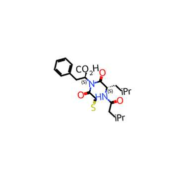 CC(C)CC(=O)N[C@@H](CC(C)C)C(=O)N(C(=O)C=S)[C@@H](Cc1ccccc1)C(=O)O